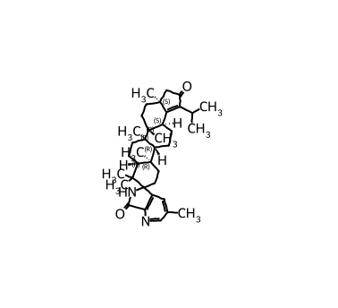 Cc1cnc2c(c1)C1(CC[C@]3(C)[C@H]4CC[C@@H]5C6=C(C(C)C)C(=O)C[C@]6(C)CC[C@@]5(C)[C@]4(C)CC[C@H]3C1(C)C)NC2=O